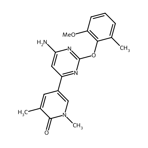 COc1cccc(C)c1Oc1nc(N)cc(-c2cc(C)c(=O)n(C)c2)n1